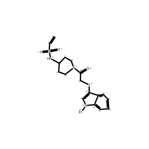 C=CS(=O)(=O)NC1CCN(C(=O)CSc2cn(CC)c3ccccc23)CC1